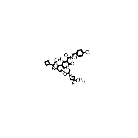 Cn1c(C2CCC2)nc2cnc3c(cc(C(=O)NCc4ccc(Cl)cc4)c(=O)n3CC(=O)N3CC(C)(F)C3)c21